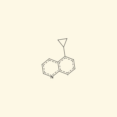 [c]1ccc(C2CC2)c2cccnc12